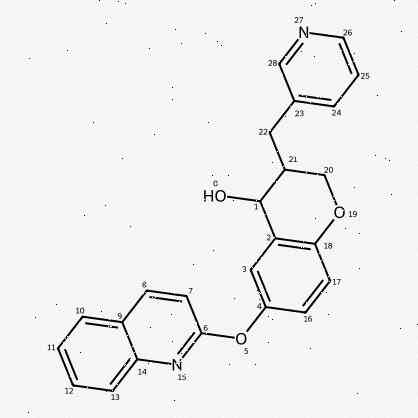 OC1c2cc(Oc3ccc4ccccc4n3)ccc2OCC1Cc1cccnc1